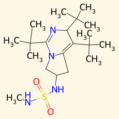 CNS(=O)(=O)NC1CC2=C(C(C)(C)C)C(C(C)(C)C)N=C(C(C)(C)C)N2C1